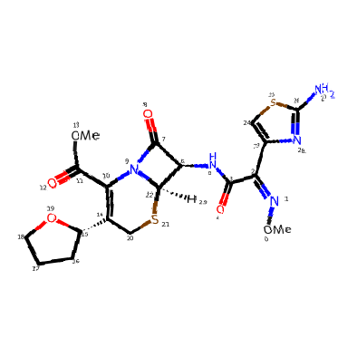 CO/N=C(\C(=O)N[C@@H]1C(=O)N2C(C(=O)OC)=C([C@@H]3CCCO3)CS[C@H]12)c1csc(N)n1